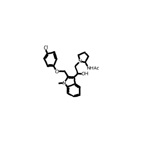 CC(=O)NC1CCCN1CC(O)c1c(COc2ccc(Cl)cc2)n(C)c2ccccc12